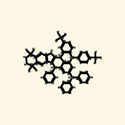 CC(C)(C)c1ccc(N2c3ccc(C(C)(C)C)cc3B3c4sc5cc6c(cc5c4N(c4ccccc4)c4cc(N(c5ccccc5)c5ccccc5)cc2c43)C(C)(C)CCC6(C)C)cc1